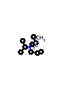 C=c1cccc/c1=C(/C=C\C)c1ccc(N(c2cccc(-c3ccc4ccccc4c3)c2)c2cc(-c3ccccc3)cc(-c3ccccc3)c2)cc1